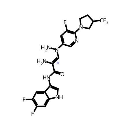 N/C(=C\N(N)c1cnc(N2CCC(C(F)(F)F)C2)c(F)c1)C(=O)Nc1c[nH]c2cc(F)c(F)cc12